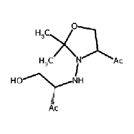 CC(=O)C1COC(C)(C)N1N[C@@H](CO)C(C)=O